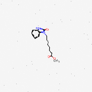 COC(=O)CCCCCCCn1c(=O)[nH]c2ccccc21